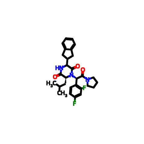 CC(C)C[C@@H]1C(=O)NC(C2Cc3ccccc3C2)C(=O)N1[C@@H](C(=O)N1CCCC1)c1ccc(F)cc1F